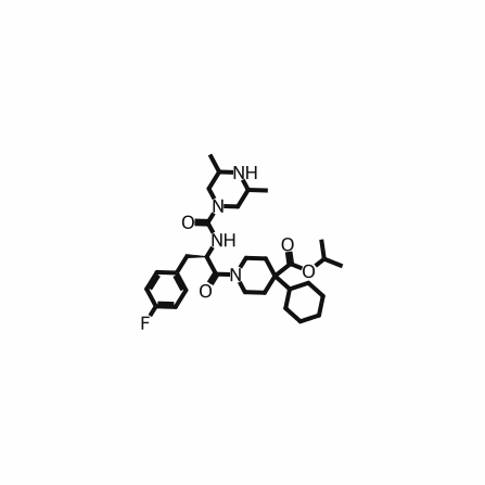 CC1CN(C(=O)N[C@H](Cc2ccc(F)cc2)C(=O)N2CCC(C(=O)OC(C)C)(C3CCCCC3)CC2)CC(C)N1